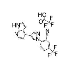 N#Cc1cc(C(F)(F)F)ccc1-n1cc(-c2ccnc3[nH]ccc23)cn1.O=C(O)C(F)(F)F